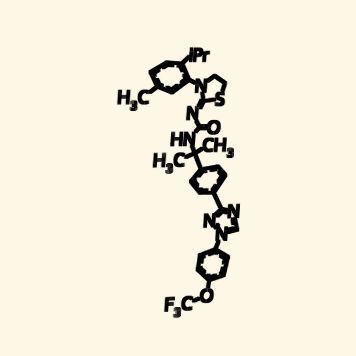 Cc1ccc(C(C)C)c(N2CCS/C2=N\C(=O)NC(C)(C)c2ccc(-c3ncn(-c4ccc(OC(F)(F)F)cc4)n3)cc2)c1